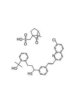 CC(C)(O)c1ccccc1CCC(S)c1cccc(C=Cc2ccc3ccc(Cl)cc3n2)c1.CC1(C)C2CCC1(CS(=O)(=O)O)C(=O)C2